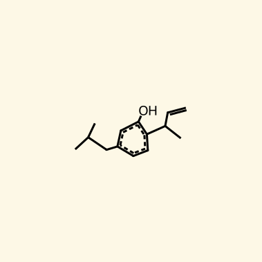 C=CC(C)c1ccc(CC(C)C)cc1O